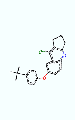 CC(C)(C)c1ccc(Oc2ccc3nc4c(c(Cl)c3c2)CCC4)cc1